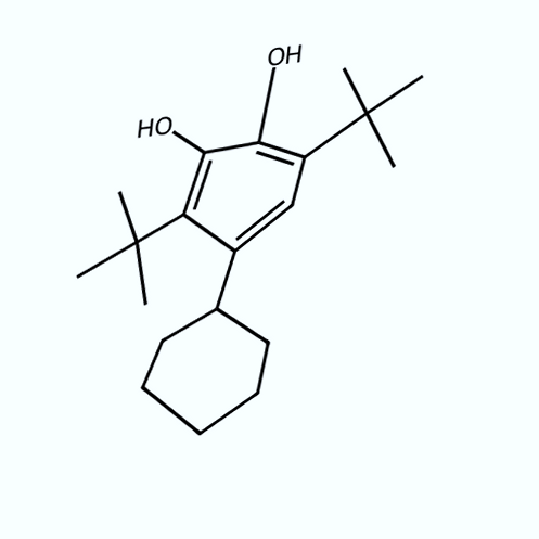 CC(C)(C)c1cc(C2CCCCC2)c(C(C)(C)C)c(O)c1O